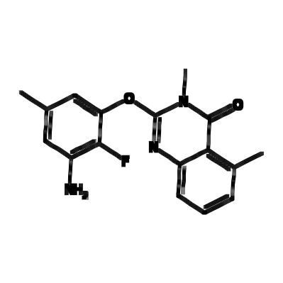 Cc1cc(N)c(F)c(Oc2nc3cccc(C)c3c(=O)n2C)c1